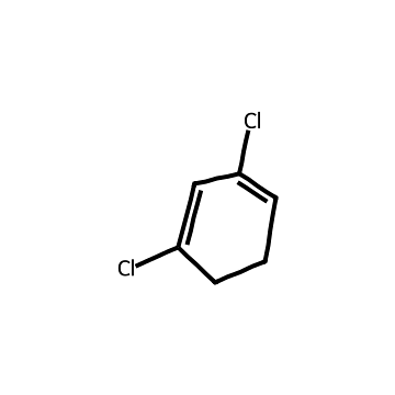 ClC1=CCCC(Cl)=C1